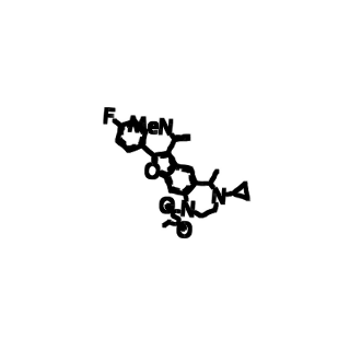 C=C(NC)c1c(-c2ccc(F)cc2)oc2cc3c(cc12)C(C)N(C1CC1)CCN3S(C)(=O)=O